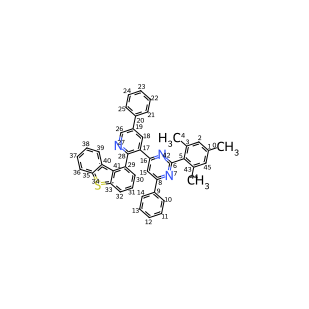 Cc1cc(C)c(-c2nc(-c3ccccc3)cc(-c3cc(-c4ccccc4)cnc3-c3cccc4sc5ccccc5c34)n2)c(C)c1